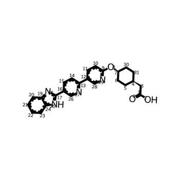 O=C(O)C[C@H]1CC[C@@H](Oc2ccc(-c3ccc(-c4nc5ccccc5[nH]4)cn3)cn2)CC1